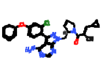 N#CC(=CC1CC1)C(=O)N1CCC[C@H]1Cn1nc(-c2ccc(Oc3ccccc3)cc2Cl)c2c(N)ncnc21